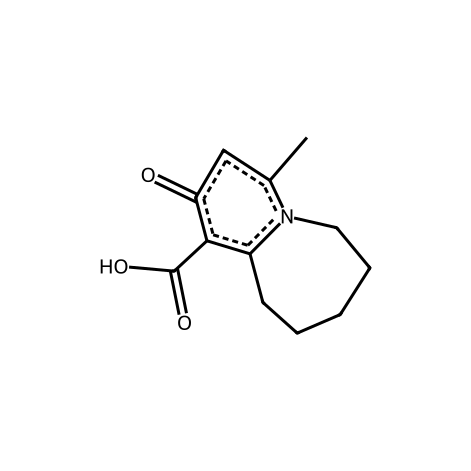 Cc1cc(=O)c(C(=O)O)c2n1CCCCC2